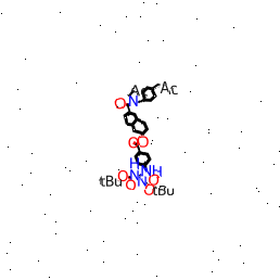 CC(=O)Cc1ccc(CN(CC(C)=O)C(=O)c2ccc3cc(OC(=O)c4ccc(N/C(=N\C(=O)OC(C)(C)C)NC(=O)OC(C)(C)C)cc4)ccc3c2)cc1